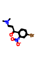 CN(C)/C=C/C(=O)c1ccc(Br)cc1[N+](=O)[O-]